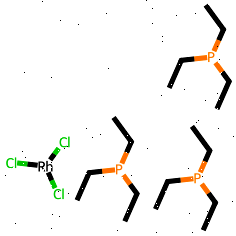 CCP(CC)CC.CCP(CC)CC.CCP(CC)CC.[Cl][Rh]([Cl])[Cl]